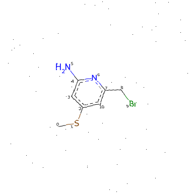 CSc1cc(N)nc(CBr)c1